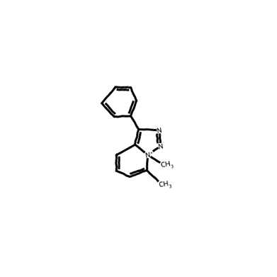 CC1=CC=CC2=C(c3ccccc3)N=N[N+]12C